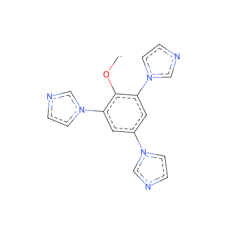 [CH2]Oc1c(-n2ccnc2)cc(-n2ccnc2)cc1-n1ccnc1